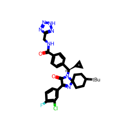 CC(C)(C)C1CCC2(CC1)N=C(c1ccc(F)c(Cl)c1)C(=O)N2[C@@H](c1ccc(C(=O)NCc2nn[nH]n2)cc1)C1CC1